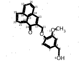 COc1cc(CO)ccc1OCC1=Cc2cccc3cccc(c23)C1=O